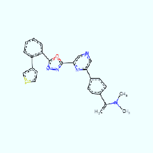 C=C(c1ccc(-c2cncc(-c3nnc(-c4ccccc4-c4ccsc4)o3)n2)cc1)N(C)C